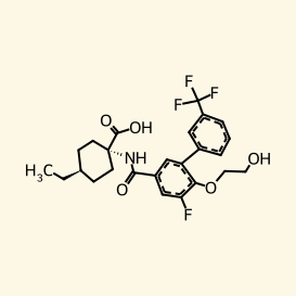 CC[C@H]1CC[C@@](NC(=O)c2cc(F)c(OCCO)c(-c3cccc(C(F)(F)F)c3)c2)(C(=O)O)CC1